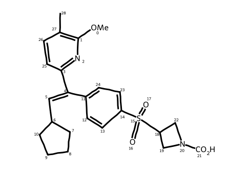 COc1nc(C(=CC2CCCC2)c2ccc(S(=O)(=O)C3CN(C(=O)O)C3)cc2)ccc1C